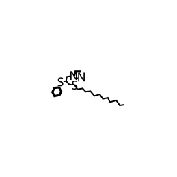 CCCCCCCCCCCCSCC(Cn1ccnc1)Sc1ccccc1